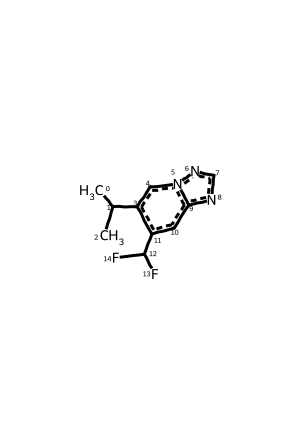 CC(C)c1cn2ncnc2cc1C(F)F